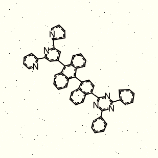 c1ccc(-c2nc(-c3ccccc3)nc(-c3ccc(-c4c5ccccc5c(-c5cc(-c6ccccn6)nc(-c6ccccn6)c5)c5ccccc45)c4ccccc34)n2)cc1